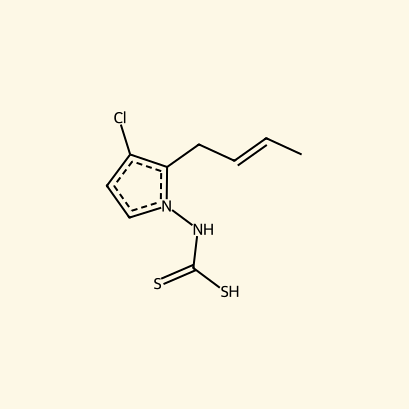 CC=CCc1c(Cl)ccn1NC(=S)S